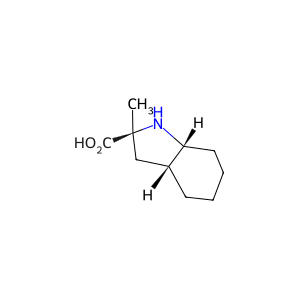 C[C@@]1(C(=O)O)C[C@H]2CCCC[C@H]2N1